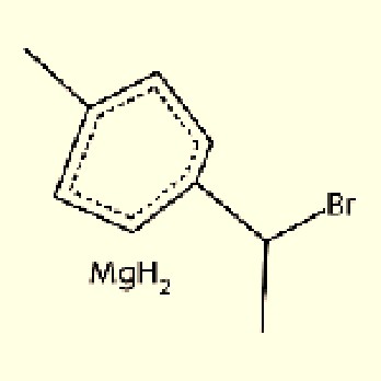 Cc1ccc(C(C)Br)cc1.[MgH2]